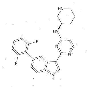 Fc1cccc(F)c1-c1ccc2[nH]cc(-c3nccc(N[C@@H]4CCCNC4)n3)c2c1